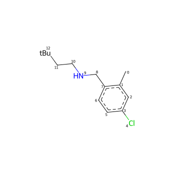 Cc1cc(Cl)ccc1CNCCC(C)(C)C